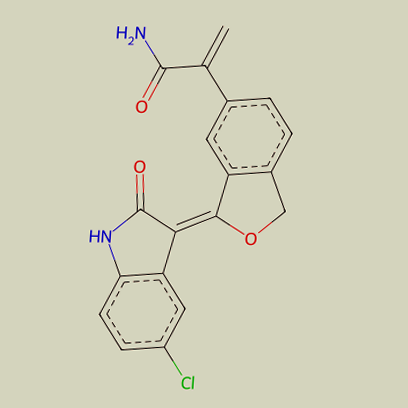 C=C(C(N)=O)c1ccc2c(c1)C(=C1C(=O)Nc3ccc(Cl)cc31)OC2